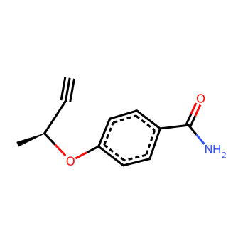 C#C[C@H](C)Oc1ccc(C(N)=O)cc1